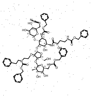 C[C@H]1[C@@H](O[C@H]2[C@@H](OCCN(CCc3ccccc3)C(=O)OCc3ccccc3)[C@H](O[C@@H]3[C@@H](O)[C@H](NC(=O)[C@@H](O)CCNC(=O)OCc4ccccc4)C[C@H](NC(=O)OCc4ccccc4)[C@H]3O[C@H]3O[C@H](CN=[N+]=[N-])[C@@H](O)[C@H](O)[C@H]3C)O[C@@H]2CO)O[C@@H](CNC(=O)OCc2ccccc2)[C@@H](O)[C@@H]1O